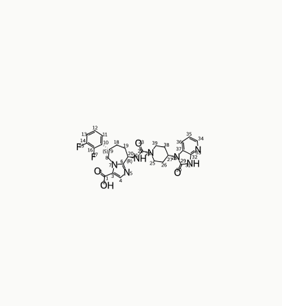 O=C(O)c1cnc2n1C[C@H](c1cccc(F)c1F)CC[C@H]2NC(=O)N1CCC(n2c(=O)[nH]c3ncccc32)CC1